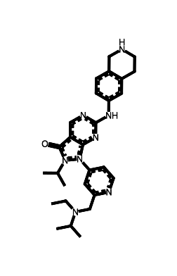 CCN(Cc1cc(-n2c3nc(Nc4ccc5c(c4)CCNC5)ncc3c(=O)n2C(C)C)ccn1)C(C)C